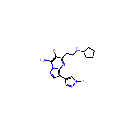 Cn1cc(-c2cnn3c(N)c(Br)c(CCNC4CCCC4)nc23)cn1